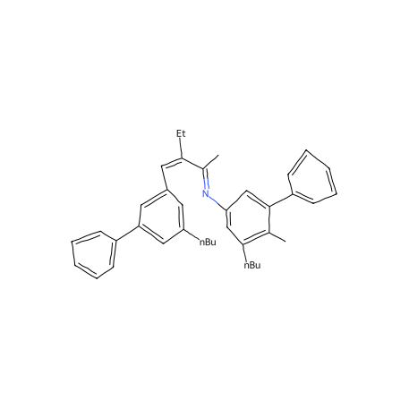 CCCCc1cc(C=C(CC)C(C)=Nc2cc(CCCC)c(C)c(-c3ccccc3)c2)cc(-c2ccccc2)c1